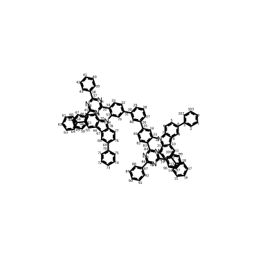 c1ccc(-c2ccc3c(c2)c2cc(-c4ccccc4)ccc2n3-c2cc(-c3cccc(-c4ccc(-c5nc(-c6ccccc6)nc(-c6ccccc6)n5)c(-n5c6ccc(-c7ccccc7)cc6c6cc(-c7ccccc7)ccc65)c4)c3)ccc2-c2nc(-c3ccccc3)nc(-c3ccccc3)n2)cc1